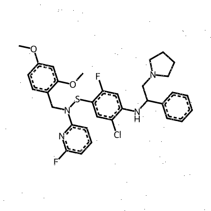 COc1ccc(CN(Sc2cc(Cl)c(NC(CN3CCCC3)c3ccccc3)cc2F)c2cccc(F)n2)c(OC)c1